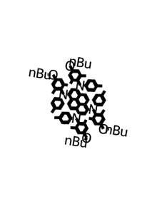 CCCCOc1cc(C)c(N(c2ccc(C)cc2)c2cc(N(c3ccc(C)cc3)c3c(C)cc(OCCCC)cc3C)c3ccc4c(N(c5ccc(C)cc5)c5c(C)cc(OCCCC)cc5C)cc(N(c5ccc(C)cc5)c5c(C)cc(OCCCC)cc5C)c5ccc2c3c54)c(C)c1